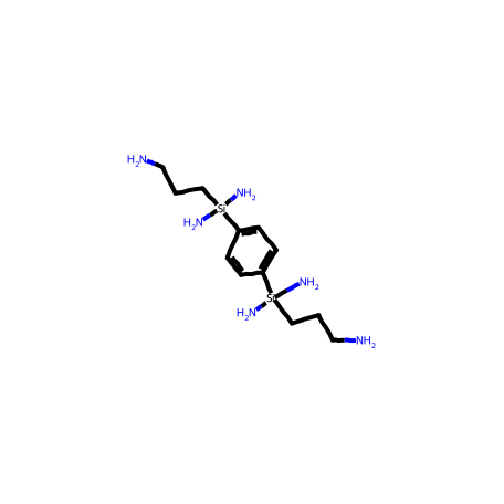 NCCC[Si](N)(N)c1ccc([Si](N)(N)CCCN)cc1